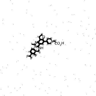 Cc1nc(N[C@H](C)c2cccc(C(F)F)c2F)c2cc(C3=CCN(CC(=O)O)CC3)c3c(c2n1)CCO3